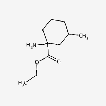 CCOC(=O)C1(N)CCCC(C)C1